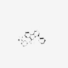 CS(=O)(=O)N1CCC[C@H](Nc2nc3c(-c4ccccn4)c[nH]c(=O)c3c3cc(Br)ccc23)C1